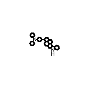 c1ccc(N(c2ccccc2)c2ccc(-c3ccc4ccc5c6c(cc7ccc3c4c75)[nH]c3ccccc36)cc2)cc1